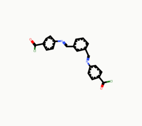 O=C(Cl)c1ccc(N=Cc2cccc(C=Nc3ccc(C(=O)Cl)cc3)c2)cc1